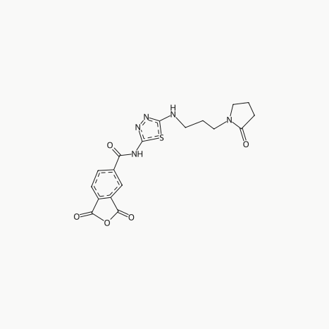 O=C(Nc1nnc(NCCCN2CCCC2=O)s1)c1ccc2c(c1)C(=O)OC2=O